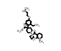 C=C=C(C)C1(c2c(F)cc(OCCNC)cc2CC)CCN(S2(C(=O)C3=C(C)N(C)CCC3)CCC2)CC1